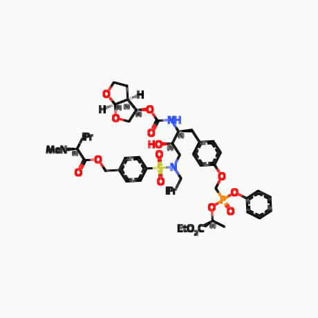 CCOC(=O)[C@H](C)OP(=O)(COc1ccc(C[C@H](NC(=O)O[C@H]2CO[C@H]3OCC[C@H]32)[C@H](O)CN(CC(C)C)S(=O)(=O)c2ccc(COC(=O)[C@@H](NC)C(C)C)cc2)cc1)Oc1ccccc1